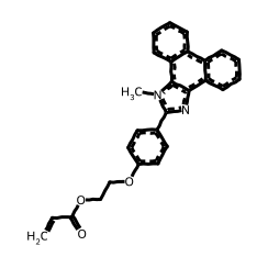 C=CC(=O)OCCOc1ccc(-c2nc3c4ccccc4c4ccccc4c3n2C)cc1